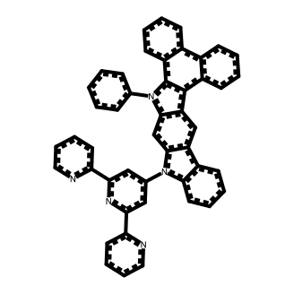 c1ccc(-n2c3cc4c(cc3c3c5ccccc5c5ccccc5c32)c2ccccc2n4-c2cc(-c3ccccn3)nc(-c3ccccn3)c2)cc1